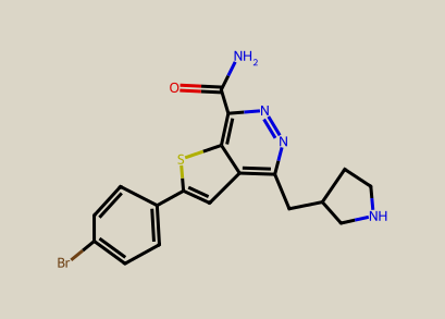 NC(=O)c1nnc(CC2CCNC2)c2cc(-c3ccc(Br)cc3)sc12